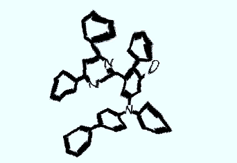 c1ccc(-c2ccc(N(c3ccccc3)c3cc(-c4nc(-c5ccccc5)cc(-c5ccccc5)n4)c4c(c3)oc3ccccc34)cc2)cc1